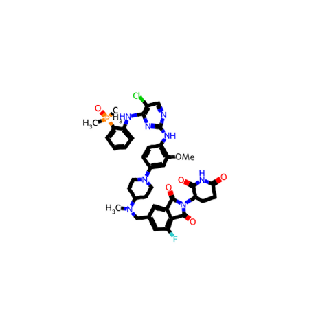 COc1cc(N2CCC(N(C)Cc3cc(F)c4c(c3)C(=O)N(C3CCC(=O)NC3=O)C4=O)CC2)ccc1Nc1ncc(Cl)c(Nc2ccccc2P(C)(C)=O)n1